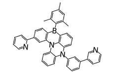 Cc1cc(C)c(B2c3ccc(-c4ccccn4)cc3N3c4ccccc4N(c4cccc(-c5cccnc5)c4)c4cccc2c43)c(C)c1